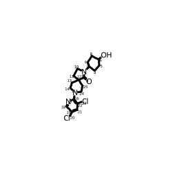 O=C1N(C2CCC(O)CC2)CCC12CCN(c1ncc(Cl)cc1Cl)CC2